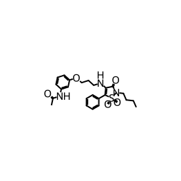 CCCCN1C(=O)C(NCCCOc2cccc(NC(C)=O)c2)=C(c2ccccc2)S1(=O)=O